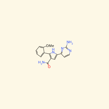 COc1ccccc1-c1[nH]c(-c2ccnc(N)n2)cc1C(N)=O